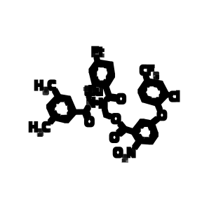 CCc1ccc(C(=O)N(COC(=O)c2cc(Oc3ccc(C(F)(F)F)cc3Cl)ccc2[N+](=O)[O-])N(C(=O)c2cc(C)cc(C)c2)C(C)(C)C)cc1